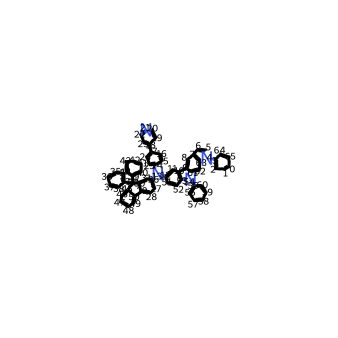 c1ccc(-n2ccc3cc4c5cc(N(c6ccc(-c7ccncc7)cc6)c6ccc7c(c6)C(c6ccccc6)(c6ccccc6)c6ccccc6-7)ccc5n(-c5ccccc5)c4cc32)cc1